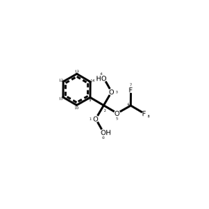 OOC(OO)(OC(F)F)c1cc[c]cc1